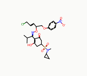 CC(C)C(=NOC(C=CCCl)COc1ccc([N+](=O)[O-])cc1)C1=C(O)CC(S(=O)(=O)N(C)C2CC2)CC1=O